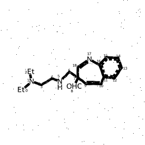 CCN(CC)CCNCC1(C=O)C=Cc2ccccc2N=C1